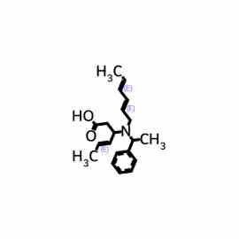 C/C=C/C=C/CN(C(/C=C/C)CC(=O)O)C(C)c1ccccc1